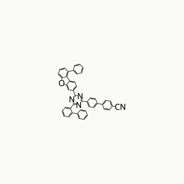 N#Cc1ccc(-c2ccc(-c3nc(-c4ccc5c(c4)oc4cccc(-c6ccccc6)c45)nc(-c4ccccc4-c4ccccc4)n3)cc2)cc1